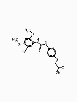 COc1cc(OC)c(NC(=S)Nc2ccc(SCC(=O)O)cc2)cc1Cl